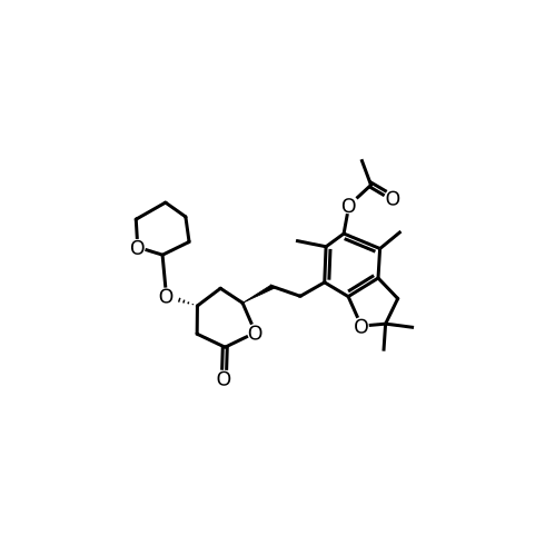 CC(=O)Oc1c(C)c(CC[C@@H]2C[C@@H](OC3CCCCO3)CC(=O)O2)c2c(c1C)CC(C)(C)O2